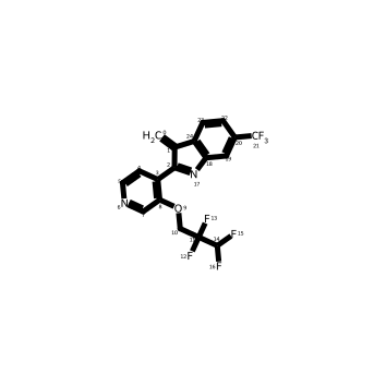 C=C1C(c2ccncc2OCC(F)(F)C(F)F)=Nc2cc(C(F)(F)F)ccc21